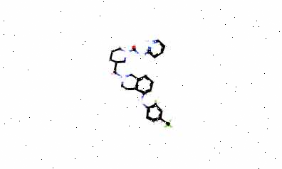 O=C(Nc1ccccn1)N1CCCC(C(=O)N2CCc3c(cccc3Nc3ccc(C(F)(F)F)cc3F)C2)C1